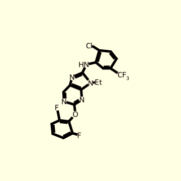 CCn1c(Nc2cc(C(F)(F)F)ccc2Cl)nc2cnc(Oc3c(F)cccc3F)nc21